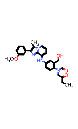 CCC(=O)CN(C=O)c1ccc(Nc2cccn3c(C)c(-c4cccc(OC)c4)nc23)cc1CO